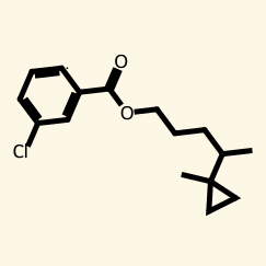 CC(CCCOC(=O)c1[c]ccc(Cl)c1)C1(C)CC1